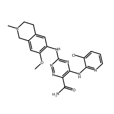 COc1cc2c(cc1Nc1nnc(C(N)=O)c(Nc3ncccc3Cl)n1)CCN(C)C2